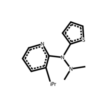 CC(C)c1cccnc1N(c1cccs1)N(C)C